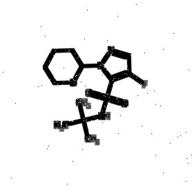 CC(C)(C)NS(=O)(=O)c1c(F)cnn1C1CCCCO1